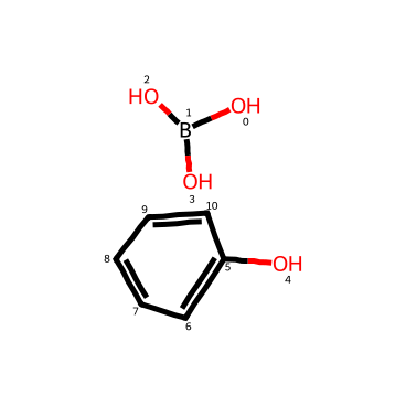 OB(O)O.Oc1ccccc1